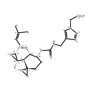 CO[C@@H]1[C@H](OC(=O)NCc2cn(CC(=O)O)nn2)CC[C@]2(CO2)[C@H]1[C@@]1(C)O[C@@H]1CC=C(C)C